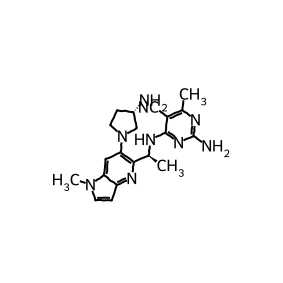 Cc1nc(N)nc(N[C@@H](C)c2nc3ccn(C)c3cc2N2CC[C@H](N)C2)c1C#N